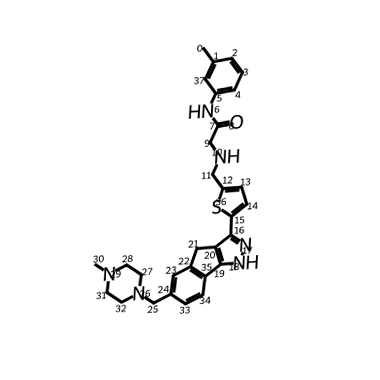 Cc1cccc(NC(=O)CNCc2ccc(-c3n[nH]c4c3Cc3cc(CN5CCN(C)CC5)ccc3-4)s2)c1